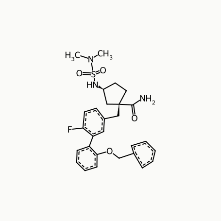 CN(C)S(=O)(=O)N[C@H]1CC[C@](Cc2ccc(F)c(-c3ccccc3OCc3ccccc3)c2)(C(N)=O)C1